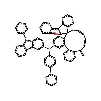 C=C1/C=C\C=C/CC2(c3ccc(N(c4ccc(-c5ccccc5)cc4)c4ccc5c(c4)c4ccccc4n5-c4ccccc4)cc3-c3ccccc31)c1ccccc1-c1c2ccc2ccccc12